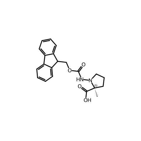 C[C@@]1(C(=O)O)CCCN1NC(=O)OCC1c2ccccc2-c2ccccc21